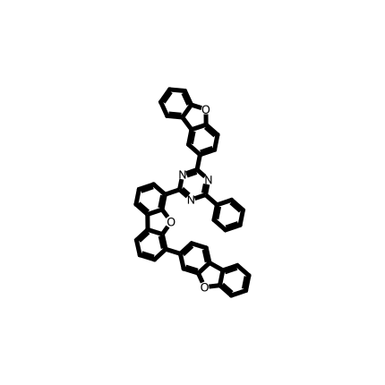 c1ccc(-c2nc(-c3ccc4oc5ccccc5c4c3)nc(-c3cccc4c3oc3c(-c5ccc6c(c5)oc5ccccc56)cccc34)n2)cc1